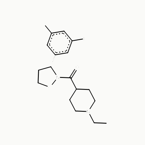 CCN1CCC(C(=O)N2OCC[C@@H]2c2cc(F)cc(F)c2)CC1